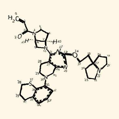 C=CC(=O)N1CC[C@@H]2[C@H]1CN2c1nc(OCCC23CCCN2CCC3)nc2c1CCN(c1cccc3c1SCCC3)C2